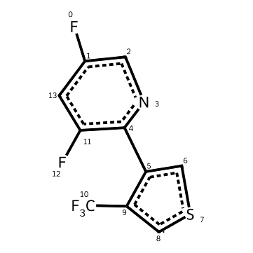 Fc1cnc(-c2cs[c]c2C(F)(F)F)c(F)c1